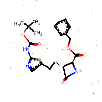 CC(C)(C)OC(=O)Nc1ncc(CC[C@H]2C(=O)N[C@@H]2C(=O)OCc2ccccc2)s1